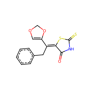 O=C1NC(=S)SC1=C(Cc1ccccc1)C1=COCO1